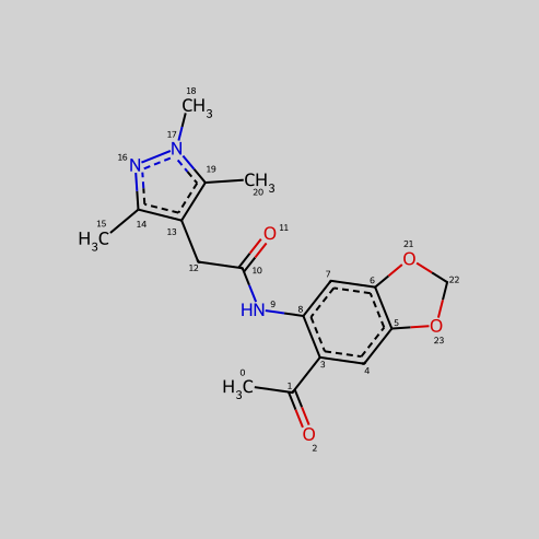 CC(=O)c1cc2c(cc1NC(=O)Cc1c(C)nn(C)c1C)OCO2